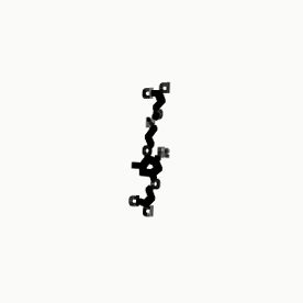 CCc1cc(OCC=C(Cl)Cl)cc(C)c1OCCC=NOCC=C(Cl)Cl